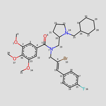 COc1cc(C(=O)N(CC(Br)=Cc2ccc(F)cc2)CC2CCCN2CC2CCCCC2)cc(OC)c1OC